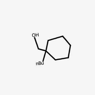 CCCCC1(CO)CCCCC1